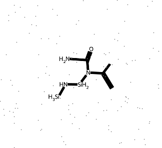 C=C(C)N([SiH2]N[SiH3])C(N)=O